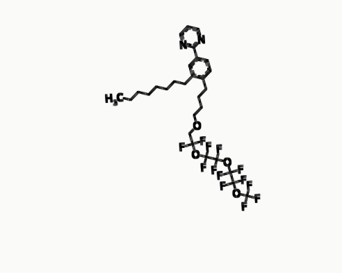 CCCCCCCCc1cc(-c2ncccn2)ccc1CCCCOCC(F)(F)OC(F)(F)C(F)(F)OC(F)(F)C(F)(F)OC(F)(F)F